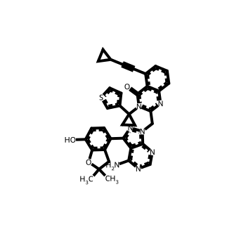 CC1(C)Cc2c(-c3nn(Cc4nc5cccc(C#CC6CC6)c5c(=O)n4C4(c5ccsc5)CC4)c4ncnc(N)c34)ccc(O)c2O1